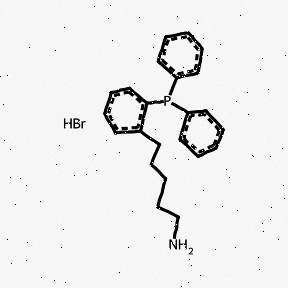 Br.NCCCCCc1ccccc1P(c1ccccc1)c1ccccc1